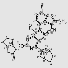 C=C1CN2CCC[C@@]2(COc2nc(N3CC4CCC(C3)N4)c3cc(Cl)c(-c4ccc(F)c5sc(N)c(C#N)c45)c(F)c3n2)C1